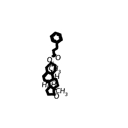 C[C@]12CC[C@H](OC(=O)CCc3ccccc3)CC1=CC[C@@H]1[C@@H]2CC[C@]2(C)C(=O)CC[C@@H]12